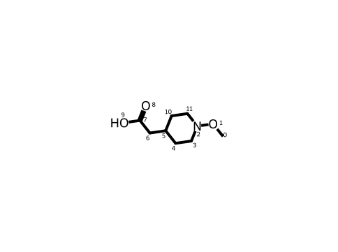 CON1CCC(CC(=O)O)CC1